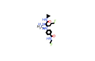 C=NN(/C(CCCF)=C(\N)C(=O)NC1CC1)c1ccc(C(=O)NCCF)cc1